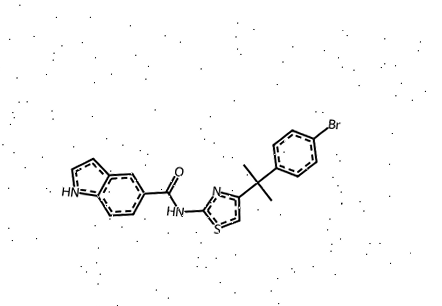 CC(C)(c1ccc(Br)cc1)c1csc(NC(=O)c2ccc3[nH]ccc3c2)n1